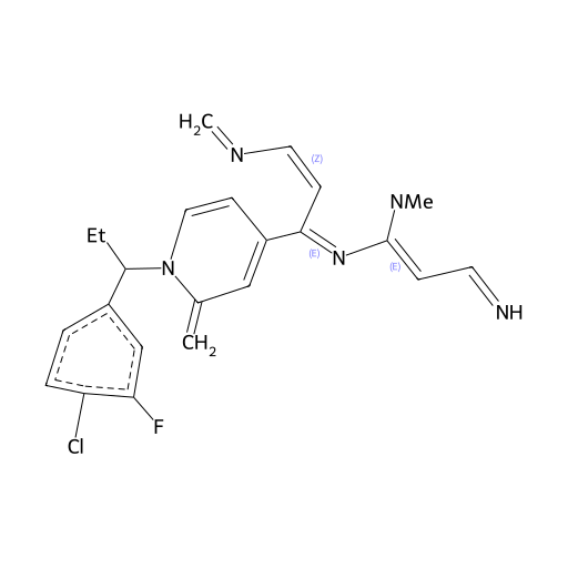 C=N\C=C/C(=N\C(=C\C=N)NC)C1=CC(=C)N(C(CC)c2ccc(Cl)c(F)c2)C=C1